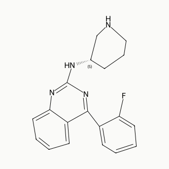 Fc1ccccc1-c1nc(N[C@H]2CCCNC2)nc2ccccc12